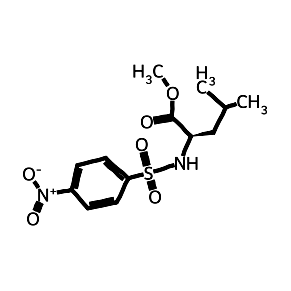 COC(=O)[C@@H](CC(C)C)NS(=O)(=O)c1ccc([N+](=O)[O-])cc1